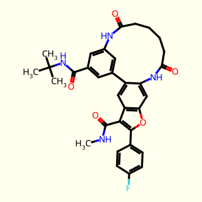 CNC(=O)c1c(-c2ccc(F)cc2)oc2cc3c(cc12)-c1cc(cc(C(=O)NC(C)(C)C)c1)NC(=O)CCCCC(=O)N3